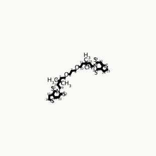 CC(C)(CCOCCCOCCC(C)(C)CCN1C(=S)C=C2SCCC2C1=S)CCN1C(=S)C=C2SCCC2C1=S